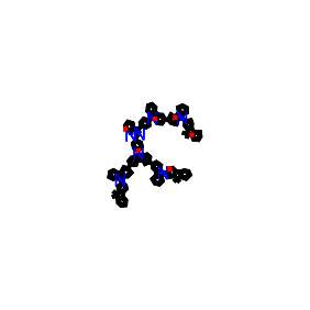 CC1(C)c2ccccc2-c2ccc(-n3c4ccccc4c4cc(-c5ccc6c(c5)c5ccccc5n6-c5ccc(-c6nc(-c7ccc(-n8c9ccc(-c%10ccc%11c(c%10)c%10ccccc%10n%11-c%10ccc%11c(c%10)C(C)(C)c%10ccccc%10-%11)cc9c9cc(-c%10ccc%11c(c%10)c%10ccccc%10n%11-c%10ccc%11c(c%10)C(C)(C)c%10ccccc%10-%11)ccc98)cc7)nc7ccccc67)cc5)ccc43)cc21